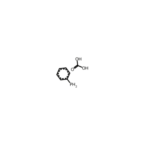 O=C(O)O.Pc1ccccc1